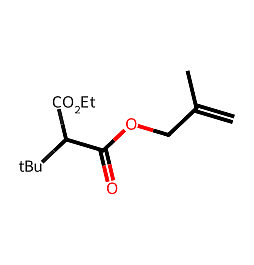 C=C(C)COC(=O)C(C(=O)OCC)C(C)(C)C